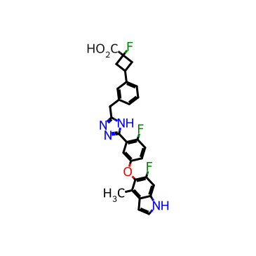 Cc1c(Oc2ccc(F)c(-c3nnc(Cc4cccc(C5CC(F)(C(=O)O)C5)c4)[nH]3)c2)c(F)cc2[nH]ccc12